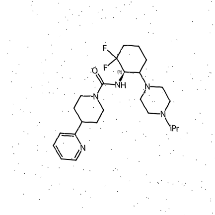 CC(C)N1CCN(C2CCCC(F)(F)[C@@H]2NC(=O)N2CCC(c3ccccn3)CC2)CC1